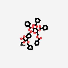 CCCCCCCCCCCOc1c(OCc2ccccc2)c2ccc(O[C@@H]3O[C@H](COC(=O)c4ccccc4)[C@@H](OC(=O)c4ccccc4)[C@H](OC(=O)c4ccccc4)[C@H]3OC(=O)c3ccccc3)cc2oc1=O